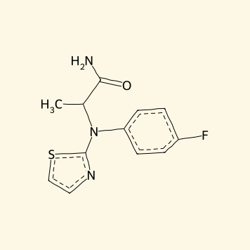 CC(C(N)=O)N(c1ccc(F)cc1)c1nccs1